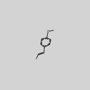 COc1ccc(C=CI)cc1